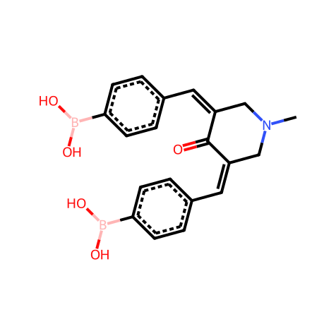 CN1C/C(=C/c2ccc(B(O)O)cc2)C(=O)/C(=C\c2ccc(B(O)O)cc2)C1